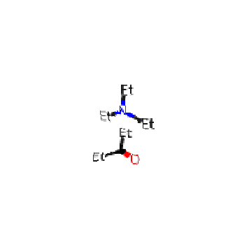 CCC(=O)CC.CCN(CC)CC